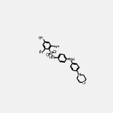 CC(C)c1cc(C(C)C)c(S(=O)(=O)Nc2ccc(Nc3ccc(N4CCOCC4)cc3)cc2)c(C(C)C)c1